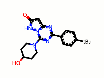 CC(C)(C)c1ccc(-c2nc(N3CCC(O)CC3)n3[nH]c(=O)cc3n2)cc1